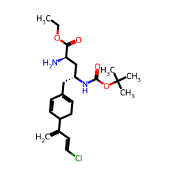 C=C(/C=C/Cl)C1C=CC(C[C@H](C[C@@H](N)C(=O)OCC)NC(=O)OC(C)(C)C)=CC1